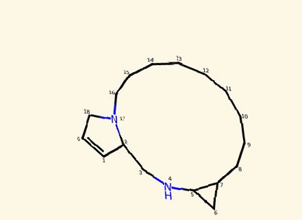 C1=CC2CNC3CC3CCCCCCCCCN2C1